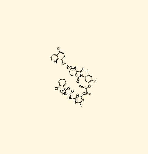 C#CC(C)Oc1cc(N2C(=O)C3=C(CCCC3)C2=O)c(F)cc1Cl.COc1nc(C)nc(NC(=O)NS(=O)(=O)c2ccccc2Cl)n1.O=C(O)COc1ccc(Cl)c2cccnc12